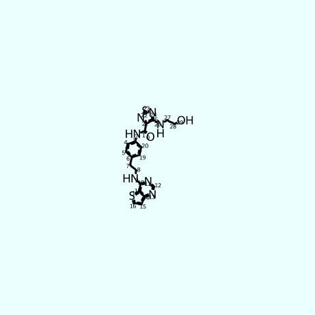 O=C(Nc1ccc(CCNc2ncnc3ccsc23)cc1)c1nsnc1NCCO